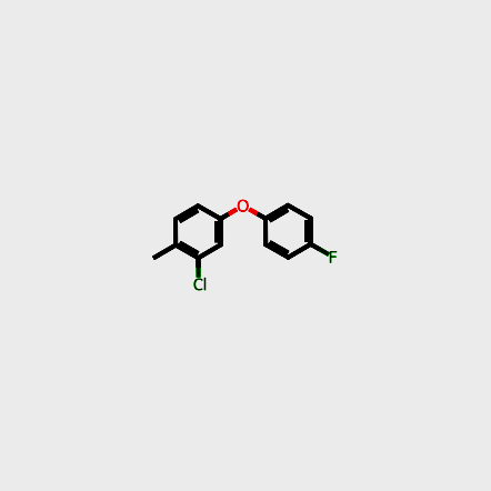 Cc1ccc(Oc2ccc(F)cc2)cc1Cl